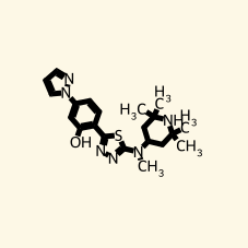 CN(c1nnc(-c2ccc(-n3cccn3)cc2O)s1)C1CC(C)(C)NC(C)(C)C1